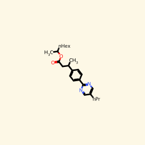 CCCCCCC(C)OC(=O)CC(C)c1ccc(-c2ncc(CCC)cn2)cc1